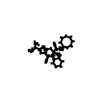 CC(C)c1cc2n(n1)CC(C)(C(=O)NC1CCCCCCC1)N(C1CCCCC1)C2=O